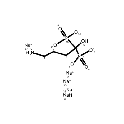 NCCCC(O)(P(=O)([O-])[O-])P(=O)([O-])[O-].[Na+].[Na+].[Na+].[Na+].[NaH]